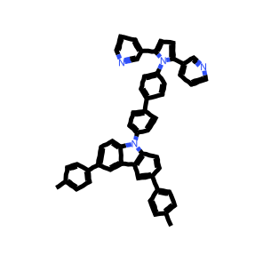 Cc1ccc(-c2ccc3c(c2)c2cc(-c4ccc(C)cc4)ccc2n3-c2ccc(-c3ccc(-n4c(-c5cccnc5)ccc4-c4cccnc4)cc3)cc2)cc1